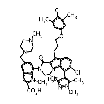 Cc1cc(OCCCc2c3n(c4c(-c5c(C)nn(C)c5C)c(Cl)ccc24)[C@H](C)CN(c2cc(CN4CCN(C)CC4)cc4cc(C(=O)O)n(C)c24)C3=O)cc(C)c1Cl